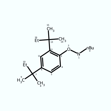 CCCC[N]Oc1ccc(C(C)(C)CC)cc1C(C)(C)CC